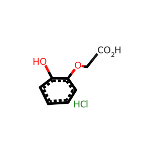 Cl.O=C(O)COc1ccccc1O